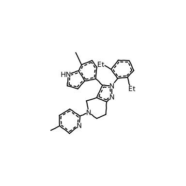 CCc1cccc(CC)c1-n1nc2c(c1-c1ccc(C)c3[nH]ccc13)CN(c1ccc(C)cn1)CC2